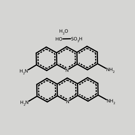 Nc1ccc2cc3ccc(N)cc3nc2c1.Nc1ccc2cc3ccc(N)cc3nc2c1.O.O=S(=O)(O)O